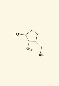 CCCCC[C@H]1SCC(C)C1C